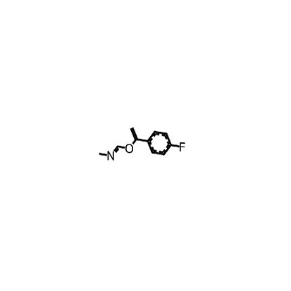 C=C(O/C=N/C)c1ccc(F)cc1